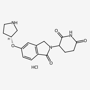 Cl.O=C1CCC(N2Cc3cc(O[C@@H]4CCNC4)ccc3C2=O)C(=O)N1